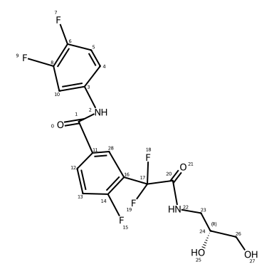 O=C(Nc1ccc(F)c(F)c1)c1ccc(F)c(C(F)(F)C(=O)NC[C@@H](O)CO)c1